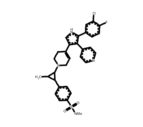 CNS(=O)(=O)c1ccc(C2C(C)C2N2CC=C(c3c[nH]c(-c4ccc(F)c(Cl)c4)c3-c3ccncc3)CC2)cc1